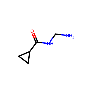 NCNC(=O)C1CC1